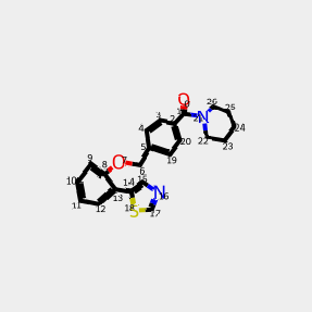 O=C(c1ccc(COc2ccccc2-c2cncs2)cc1)N1CCCCC1